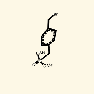 COP(=O)(Cc1ccc(CBr)cc1)OC